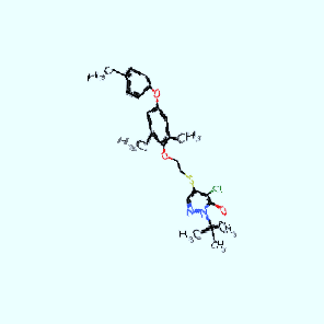 Cc1ccc(Oc2cc(C)c(OCCSc3cnn(C(C)(C)C)c(=O)c3Cl)c(C)c2)cc1